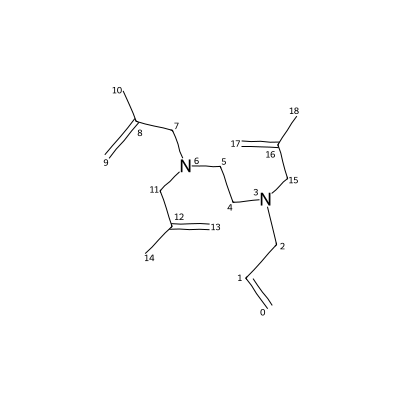 C=CCN(CCN(CC(=C)C)CC(=C)C)CC(=C)C